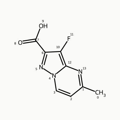 Cc1ccn2nc(C(=O)O)c(F)c2n1